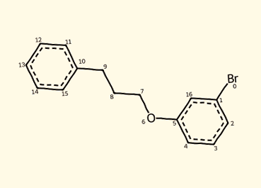 Brc1cccc(OCCCc2ccccc2)c1